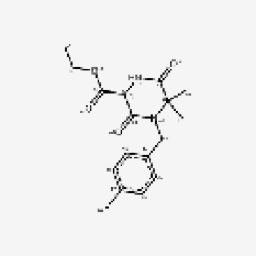 CCOC(=O)[C@H]1NC(=O)C(C)(C)N(Cc2ccc(F)cc2)C1=O